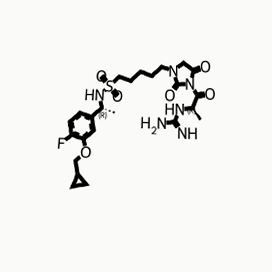 C[C@@H](NC(=N)N)C(=O)N1C(=O)CN(CCCCCS(=O)(=O)N[C@H](C)c2ccc(F)c(OCC3CC3)c2)C1=O